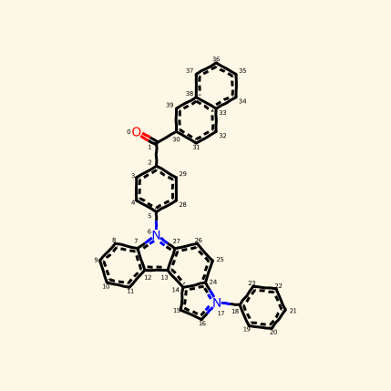 O=C(c1ccc(-n2c3ccccc3c3c4ccn(-c5ccccc5)c4ccc32)cc1)c1ccc2ccccc2c1